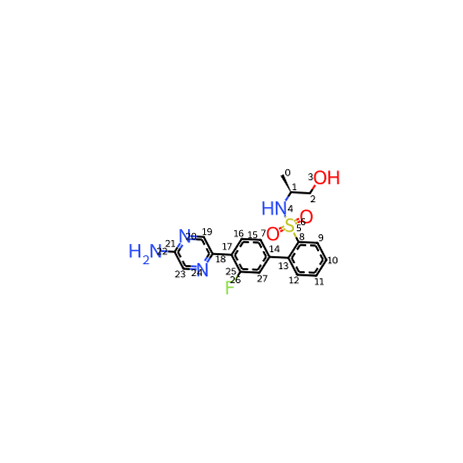 C[C@@H](CO)NS(=O)(=O)c1ccccc1-c1ccc(-c2cnc(N)cn2)c(F)c1